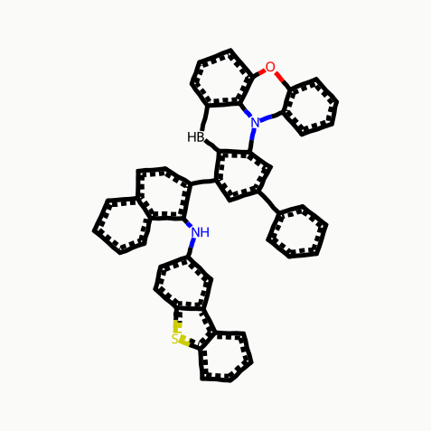 B1c2cccc3c2N(c2ccccc2O3)c2cc(-c3ccccc3)cc(-c3ccc4ccccc4c3Nc3ccc4sc5ccccc5c4c3)c21